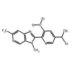 CCC(C#N)c1cnc(-c2nc3cc(C(F)(F)F)ncc3n2C)c([S+]([O-])CC)c1